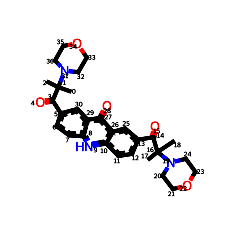 CC(C)(C(=O)c1ccc2[nH]c3ccc(C(=O)C(C)(C)N4CCOCC4)cc3c(=O)c2c1)N1CCOCC1